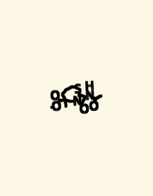 COC(=O)C1(C)CCCSC2C(NC(C)=O)C(=O)N2C1